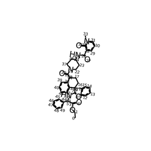 CCOC(=O)[C@H](NC(=O)[C@@]1(c2ccccc2)CC[C@H](C(=O)N2CCC(NC(=O)c3cccn(C)c3=O)CC2)c2ccccc21)c1ccccc1